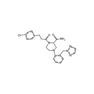 NC(=O)C1CN(c2ccccc2Cn2nccn2)CCN1C(=O)[CH]Cc1ccc(Cl)cc1